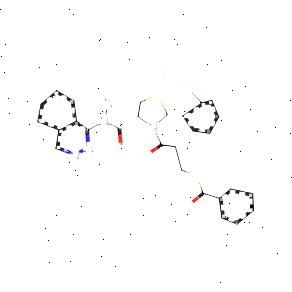 Cl.NN(C(=O)[C@@H]1CS[C@H](c2ccccc2O)N1C(=O)CCSC(=O)c1ccccc1)c1nncc2ccccc12